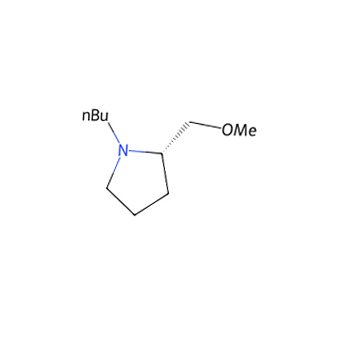 CCCCN1CCC[C@H]1COC